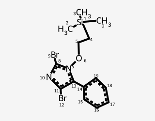 C[Si](C)(C)CCOn1c(Br)nc(Br)c1-c1ccccc1